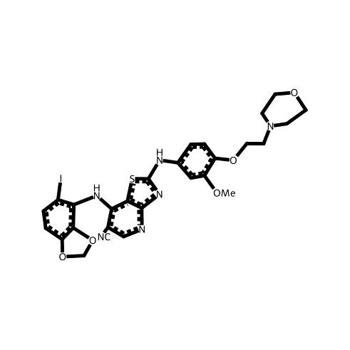 COc1cc(Nc2nc3ncc(C#N)c(Nc4c(I)ccc5c4OCO5)c3s2)ccc1OCCN1CCOCC1